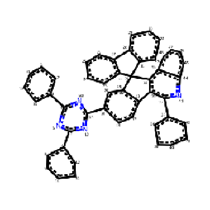 c1ccc(-c2nc(-c3ccccc3)nc(-c3ccc4c(c3)C3(c5ccccc5-c5ccccc53)c3c-4c(-c4ccccc4)nc4ccccc34)n2)cc1